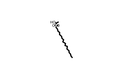 CCCCCCCCCCCCCCCCCCS(=O)(=O)C(C)O